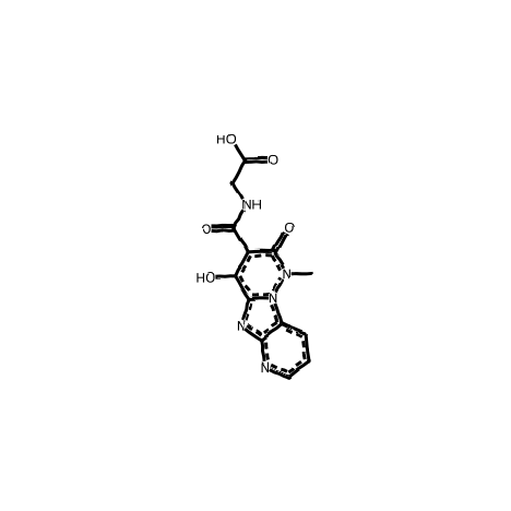 Cn1c(=O)c(C(=O)NCC(=O)O)c(O)c2nc3ncccc3n21